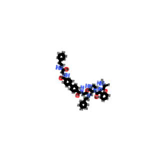 CN[C@@H](C)C(=O)N[C@H](C(=O)N1CCNC[C@H]1CN(CCc1ccccc1)C(=O)CNC(=O)c1ccc(-c2ccc(C(=O)NCC(=O)NCCc3ccccc3)cc2)cc1)C1CCCCC1